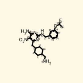 NCC1CCC(Cc2nc(NCc3cccc(OC(F)F)c3)nc(N)c2[N+](=O)[O-])CC1